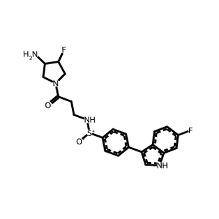 NC1CN(C(=O)CCN[S+]([O-])c2ccc(-c3c[nH]c4cc(F)ccc34)cc2)CC1F